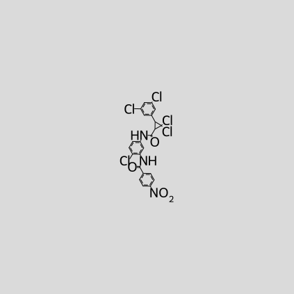 O=C(Nc1cc(NC(=O)C2C(c3cc(Cl)cc(Cl)c3)C2(Cl)Cl)ccc1Cl)c1ccc([N+](=O)[O-])cc1